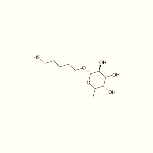 CC1O[C@H](OCCCCCS)[C@@H](O)C(O)[C@@H]1O